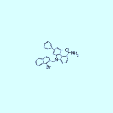 NC(=O)c1cccc2c1c1[c]cc(-c3ccccc3)cc1n2Cc1ccc2ccccc2c1Br